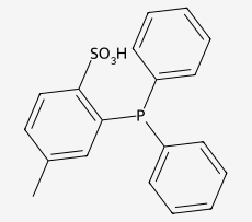 Cc1ccc(S(=O)(=O)O)c(P(c2ccccc2)c2ccccc2)c1